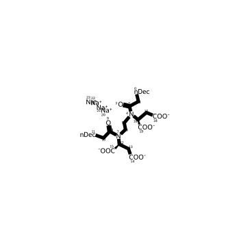 CCCCCCCCCCCC(=O)N(CCN(C(=O)CCCCCCCCCCC)[C@@H](CC(=O)[O-])C(=O)[O-])[C@@H](CC(=O)[O-])C(=O)[O-].[Na+].[Na+].[Na+].[Na+]